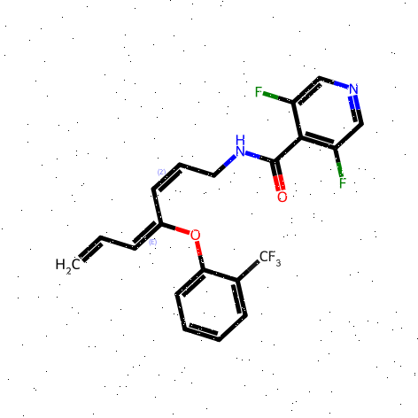 C=C/C=C(\C=C/CNC(=O)c1c(F)cncc1F)Oc1ccccc1C(F)(F)F